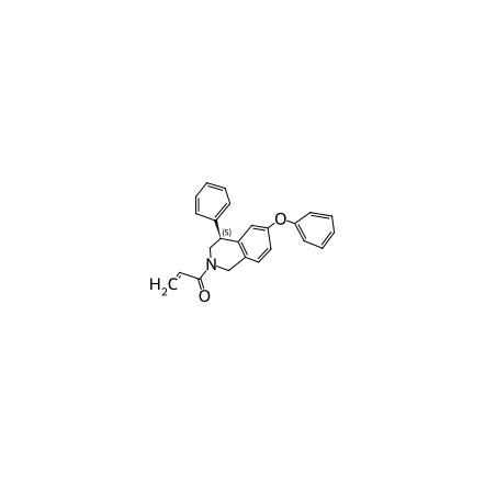 C=CC(=O)N1Cc2ccc(Oc3ccccc3)cc2[C@H](c2ccccc2)C1